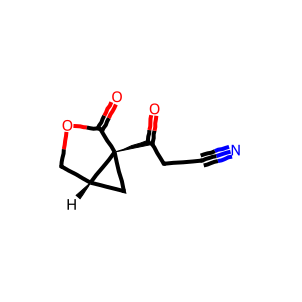 N#CCC(=O)[C@@]12C[C@@H]1COC2=O